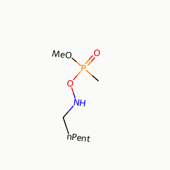 CCCCCCNOP(C)(=O)OC